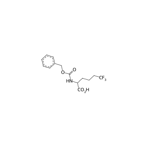 O=C(NC(CCCC(F)(F)F)C(=O)O)OCc1ccccc1